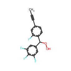 CC#Cc1ccc(C(OO)c2cc(F)c(F)c(F)c2)c(F)c1